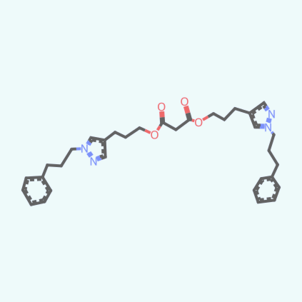 O=C(CC(=O)OCCCc1cnn(CCCc2ccccc2)c1)OCCCc1cnn(CCCc2ccccc2)c1